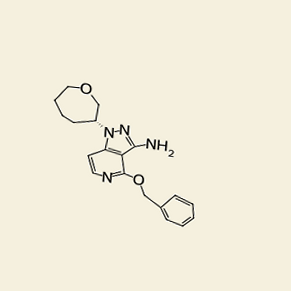 Nc1nn([C@@H]2CCCCOC2)c2ccnc(OCc3ccccc3)c12